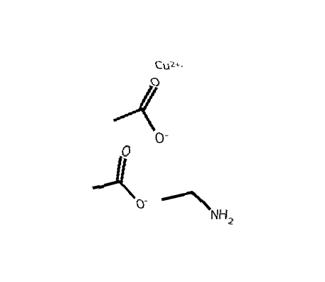 CC(=O)[O-].CC(=O)[O-].CCN.[Cu+2]